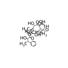 CC1=C2[C@@H](O)C(=O)[C@@]3(C)C([C@H](C)[C@](O)(C[C@@H]1OC(=O)[C@H](O)[C@@H](C)c1ccccc1)C2(C)C)[C@]1(C)CO[C@@H]1C[C@@H]3O